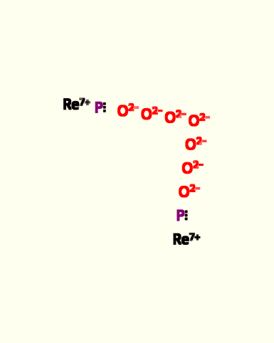 [O-2].[O-2].[O-2].[O-2].[O-2].[O-2].[O-2].[P].[P].[Re+7].[Re+7]